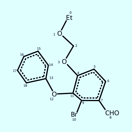 CCOCOc1ccc(C=O)c(Br)c1Oc1ccccc1